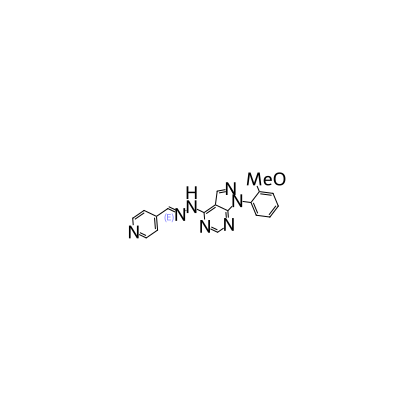 COc1ccccc1-n1ncc2c(N/N=C/c3ccncc3)ncnc21